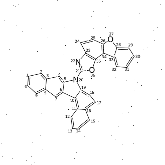 c1ccc2cc3c(cc2c1)c1c2ccccc2ccc1n3-c1nc2ccc3oc4ccccc4c3c2o1